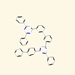 c1ccc(-c2ccc(-c3nc(-c4ccccc4)nc(-c4cccc(-c5cccc(-c6nc(-c7ccccc7)nc(-c7ccccc7)n6)c5)c4)n3)cc2)cc1